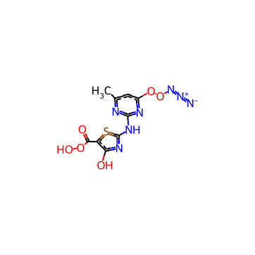 Cc1cc(OON=[N+]=[N-])nc(Nc2nc(O)c(C(=O)OO)s2)n1